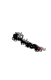 COc1ccc(N)c(O)c1C(=O)NCCCNC(=O)CCOC1CCC2C3CCc4cc(OP(=O)(OC(C)(C)C)OC(C)(C)C)ccc4C3CCC12C